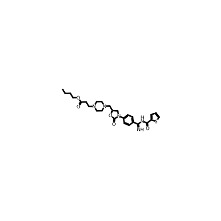 CCCCOC(=O)CCN1CCN(CC2CN(c3ccc(C(=N)NC(=O)c4cccs4)cc3)C(=O)O2)CC1